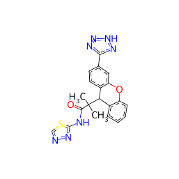 CC(C)(C(=O)Nc1nncs1)C1c2ccccc2Oc2cc(-c3nn[nH]n3)ccc21